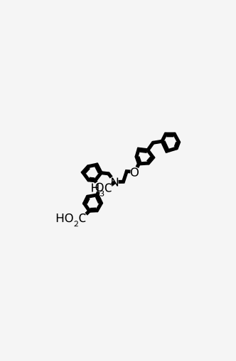 CN(CCOc1ccc(Cc2ccccc2)cc1)Cc1ccccc1Oc1ccc(C(=O)O)cc1